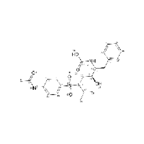 CC(=O)Nc1ccc(S(=O)(=O)N(C[C@H](O)[C@H](Cc2ccccc2)NC(=O)O)C(C)C)cc1